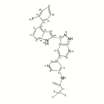 C=C(CC(C)(C)C)Nc1cncc(-c2cnc3[nH]nc(-c4cc5c(-c6ccccc6F)cccc5[nH]4)c3c2)c1